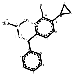 CC(C)(C)[S+]([O-])N[C@@H](c1ccccc1)c1ccc(C2CC2)c(F)n1